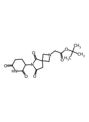 CC(C)(C)OC(=O)CN1CC2(CC(=O)N(C3CCC(=O)NC3=O)C2=O)C1